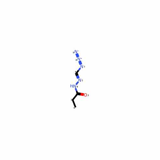 CCC(=O)NN=CN=[N+]=[N-]